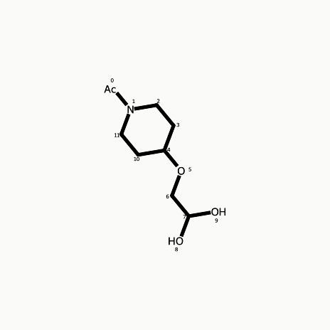 CC(=O)N1CCC(OCC(O)O)CC1